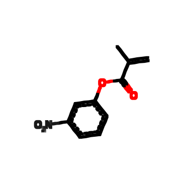 C=C(C)C(=O)Oc1cccc([N+](=O)[O-])c1